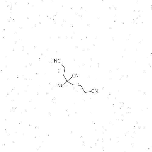 N#CCCCC(C#N)(C#N)CCC#N